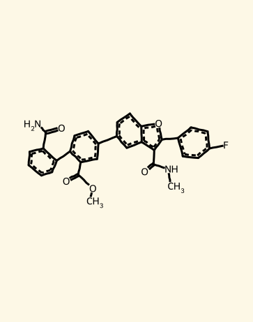 CNC(=O)c1c(-c2ccc(F)cc2)oc2ccc(-c3ccc(-c4ccccc4C(N)=O)c(C(=O)OC)c3)cc12